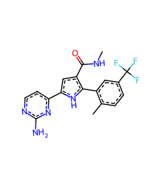 CNC(=O)c1cc(-c2ccnc(N)n2)[nH]c1-c1cc(C(F)(F)F)ccc1C